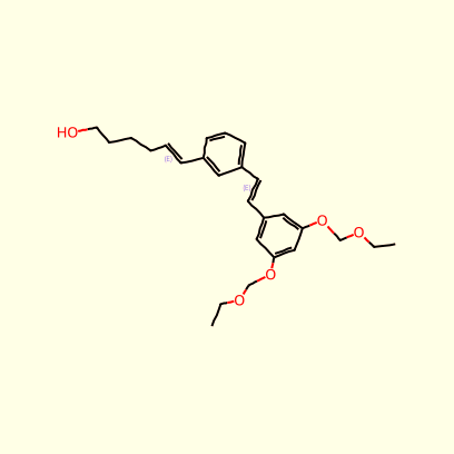 CCOCOc1cc(/C=C/c2cccc(/C=C/CCCCO)c2)cc(OCOCC)c1